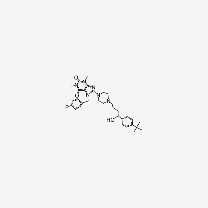 Cn1c(=O)c2c(nc(N3CCN(CCCC(O)c4ccc(C(C)(C)C)cc4)CC3)n2Cc2ccc(F)cc2)n(C)c1=O